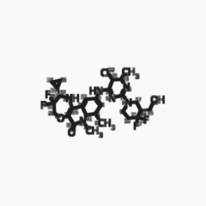 CC1C=C(NC2=NC(N3CCC(F)(F)[C@H](CO)C3)=NC(C)C2Cl)C=C2C3=C(OCC(F)(F)[C@H](C4CC4)N3)C(=O)N(C)C21